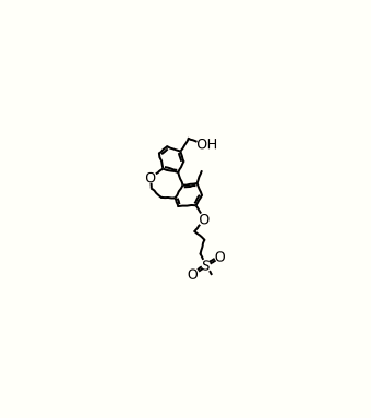 Cc1cc(OCCCS(C)(=O)=O)cc2c1-c1cc(CO)ccc1OCC2